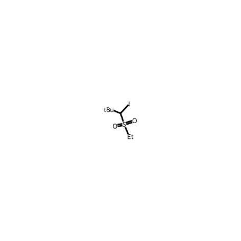 CCS(=O)(=O)C(I)C(C)(C)C